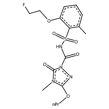 CCCOc1nn(C(=O)NS(=O)(=O)c2c(C)cccc2OCCF)c(=O)n1C